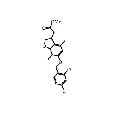 COC(=O)CC1COC2C1=C(C)C=C(OCc1ccc(Cl)cc1Cl)C2C